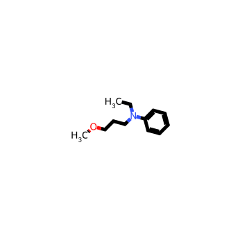 CCN(CCCOC)c1ccccc1